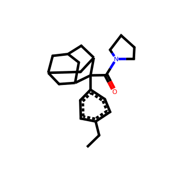 CCc1ccc(C2(C(=O)N3CCCC3)C3CC4CC(C3)CC2C4)cc1